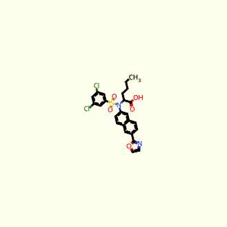 CCCCC(C(=O)O)N(c1ccc2cc(-c3ncco3)ccc2c1)S(=O)(=O)c1cc(Cl)cc(Cl)c1